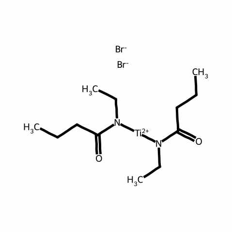 CCCC(=O)[N](CC)[Ti+2][N](CC)C(=O)CCC.[Br-].[Br-]